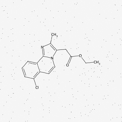 CCOC(=O)Cc1c(C)nc2c3cccc(Cl)c3ccn12